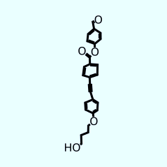 O=Cc1ccc(OC(=O)c2ccc(C#Cc3ccc(OCCCCO)cc3)cc2)cc1